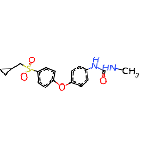 CNC(=O)Nc1ccc(Oc2ccc(S(=O)(=O)CC3CC3)cc2)cc1